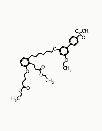 CCOC(=O)CCCOc1cccc(CCCCCCOc2cc(OCC)cc(-c3ccc(S(C)(=O)=O)cc3)c2)c1CCC(=O)OCC